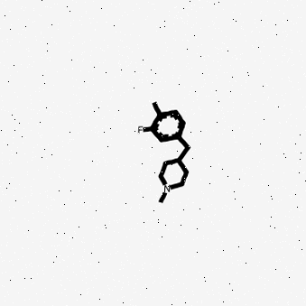 Cc1ccc(CC2CCN(C)CC2)cc1F